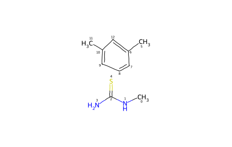 CNC(N)=S.Cc1cccc(C)c1